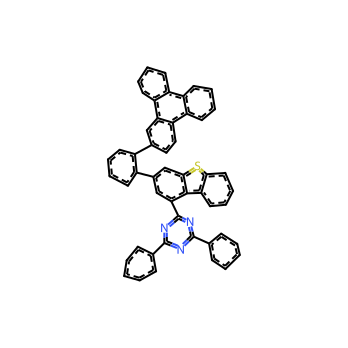 c1ccc(-c2nc(-c3ccccc3)nc(-c3cc(-c4ccccc4-c4ccc5c6ccccc6c6ccccc6c5c4)cc4sc5ccccc5c34)n2)cc1